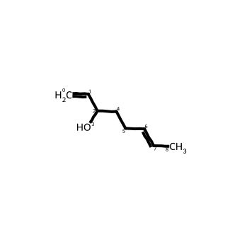 C=CC(O)CCC=CC